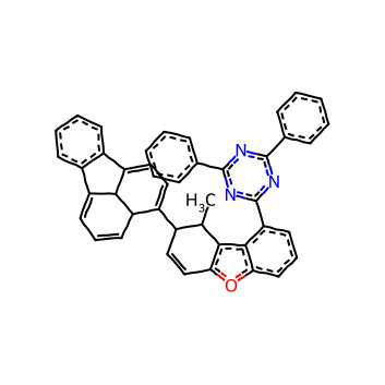 CC1c2c(oc3cccc(-c4nc(-c5ccccc5)nc(-c5ccccc5)n4)c23)C=CC1C1=CC=C2c3ccccc3C3=CC=CC1C32